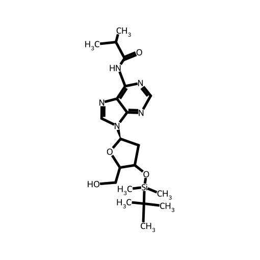 CC(C)C(=O)Nc1ncnc2c1ncn2[C@H]1CC(O[Si](C)(C)C(C)(C)C)C(CO)O1